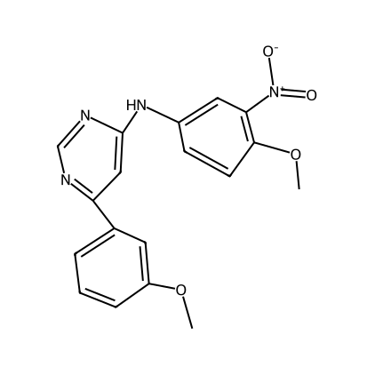 COc1cccc(-c2cc(Nc3ccc(OC)c([N+](=O)[O-])c3)ncn2)c1